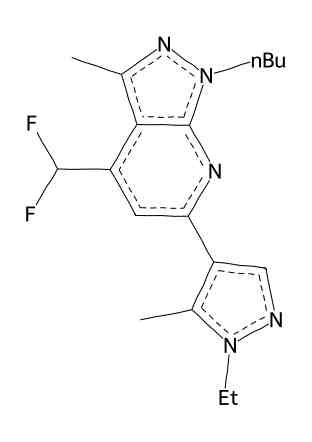 CCCCn1nc(C)c2c(C(F)F)cc(-c3cnn(CC)c3C)nc21